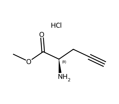 C#CC[C@@H](N)C(=O)OC.Cl